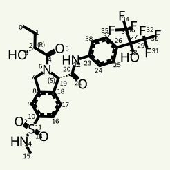 CC[C@@H](O)C(=O)N1Cc2cc(S(=O)(=O)NC)ccc2[C@H]1C(=O)Nc1ccc(C(O)(C(F)(F)F)C(F)(F)F)cc1